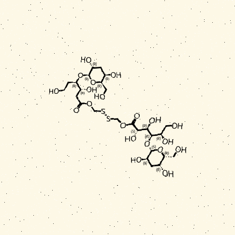 O=C(C[C@@H](O)[C@@H](CCO)O[C@@H]1O[C@H](CO)[C@H](O)C[C@H]1O)OCSSCOC(=O)[C@@H](O)[C@@H](O)[C@H](O[C@@H]1O[C@H](CO)[C@H](O)C[C@H]1O)[C@H](O)CO